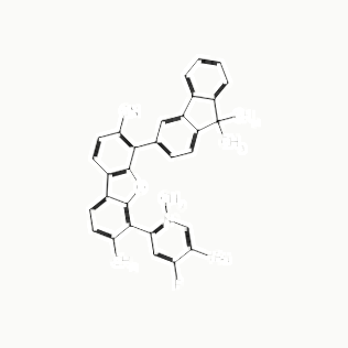 Cc1ccc2c(oc3c(-c4ccc5c(c4)-c4ccccc4C5(C)C)c(C#N)ccc32)c1-c1cc(F)c(C(C)(C)C)c[n+]1C